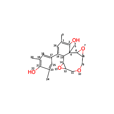 CC1=C(O)C2(C)C3OC3COCC3OC3C2C(c2cc(C)c(O)c(C)c2)=C1